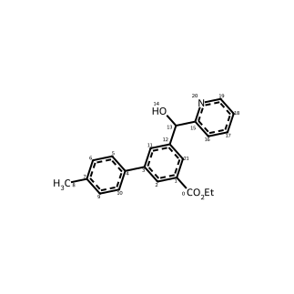 CCOC(=O)c1cc(-c2ccc(C)cc2)cc(C(O)c2ccccn2)c1